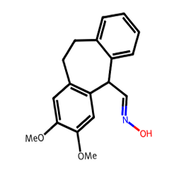 COc1cc2c(cc1OC)C(C=NO)c1ccccc1CC2